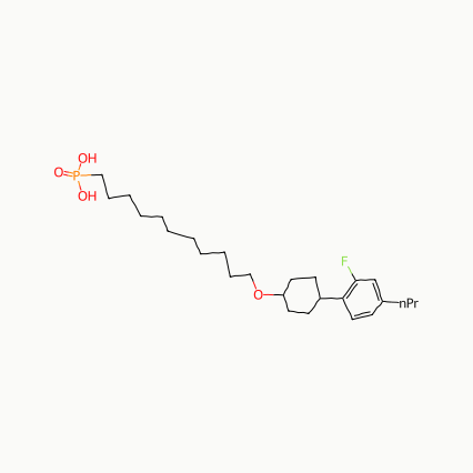 CCCc1ccc(C2CCC(OCCCCCCCCCCCP(=O)(O)O)CC2)c(F)c1